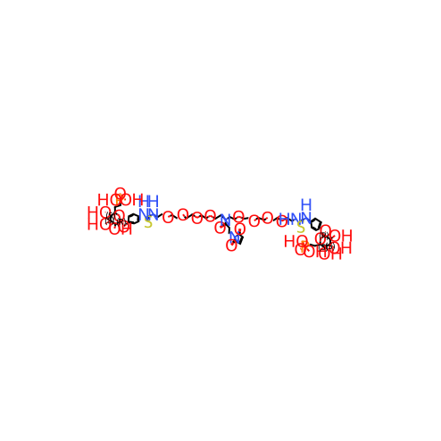 O=C(CCN1C(=O)C=CC1=O)N(CCOCCOCCOCCOCCNC(=S)Nc1ccc(O[C@H]2OC(CCP(=O)(O)O)[C@@H](O)[C@H](O)C2O)cc1)CCOCCOCCOCCOCCNC(=S)Nc1ccc(O[C@H]2OC(CCP(=O)(O)O)[C@@H](O)[C@H](O)C2O)cc1